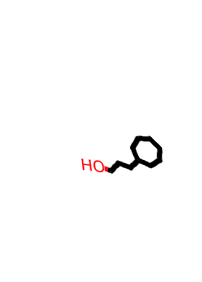 OCCC[C]1CCCCCC1